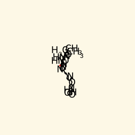 CC(C)(C)c1cc(NC(=O)Nc2cc3ncc(C#Cc4ccc(OCCN5C[C@@H]6OCCO[C@@H]6C5)cn4)cn3n2)no1